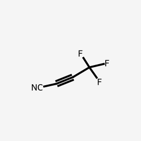 N#CC#CC(F)(F)F